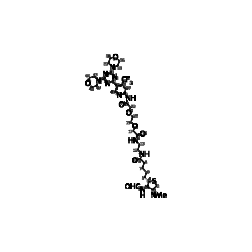 CN[C@H]1CS[C@@H](CCCCC(=O)NCCNC(=O)COCCOCC(=O)Nc2cc(C(F)(F)F)c(-c3nc(N4CCOCC4)nc(N4CCOCC4)n3)cn2)[C@H]1NC=O